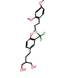 COc1ccc(CCCOc2ccc(CCC(CO)CO)cc2C(F)(F)F)c(OC)c1